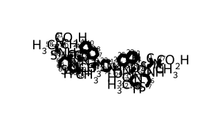 CC(C(=S)N[C@H]1CCS[C@H]2CC(C)(C)[C@@H](C(=O)N[C@H]3c4ccccc4CC[C@H]3C(=O)N3CCN(C(=O)[C@@H]4CCc5ccccc5[C@@H]4NC(=O)[C@H]4N5C(=O)[C@@H](NC(=S)C(C)N(C)C(=O)O)CCS[C@H]5CC4(C)C)CC3)N2C1=O)N(C)C(=O)O